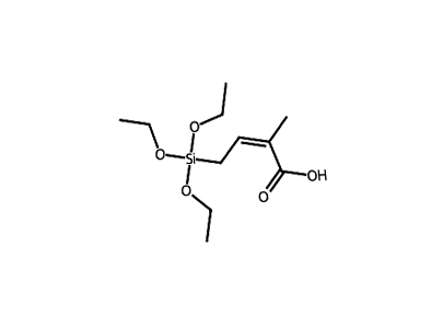 CCO[Si](CC=C(C)C(=O)O)(OCC)OCC